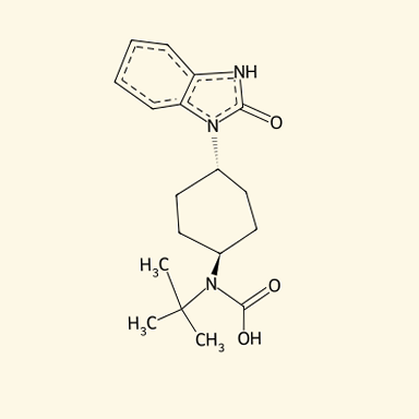 CC(C)(C)N(C(=O)O)[C@H]1CC[C@H](n2c(=O)[nH]c3ccccc32)CC1